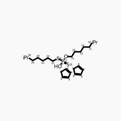 C1=CCC=C1.C1=CCC=C1.CC(C)CCCCCOP(O)(=S)SCCCCCC(C)C